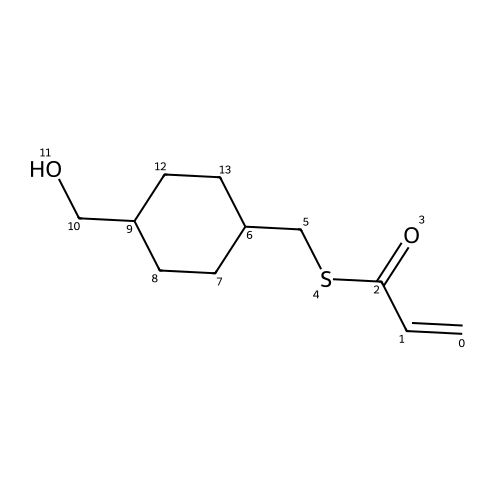 C=CC(=O)SCC1CCC(CO)CC1